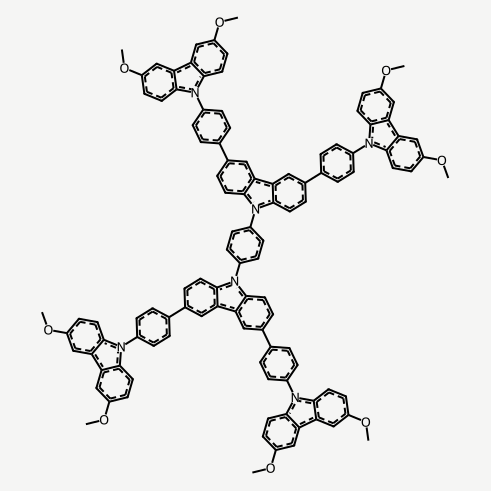 COc1ccc2c(c1)c1cc(OC)ccc1n2-c1ccc(-c2ccc3c(c2)c2cc(-c4ccc(-n5c6ccc(OC)cc6c6cc(OC)ccc65)cc4)ccc2n3-c2ccc(-n3c4ccc(-c5ccc(-n6c7ccc(OC)cc7c7cc(OC)ccc76)cc5)cc4c4cc(-c5ccc(-n6c7ccc(OC)cc7c7cc(OC)ccc76)cc5)ccc43)cc2)cc1